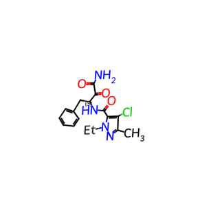 CCn1nc(C)c(Cl)c1C(=O)N[C@@H](Cc1ccccc1)C(=O)C(N)=O